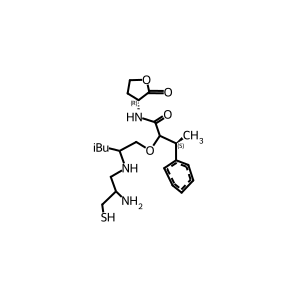 CCC(C)C(COC(C(=O)N[C@@H]1CCOC1=O)[C@@H](C)c1ccccc1)NCC(N)CS